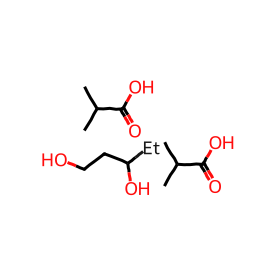 CC(C)C(=O)O.CC(C)C(=O)O.CCC(O)CCO